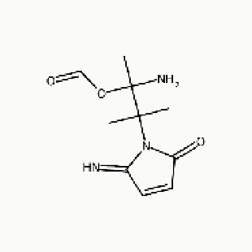 CC(N)(OC=O)C(C)(C)N1C(=N)C=CC1=O